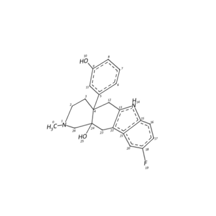 CN1CCC2(c3cccc(O)c3)Cc3[nH]c4ccc(F)cc4c3CC2(O)C1